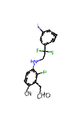 N#Cc1ccc(NCC(F)(F)c2cccc(I)c2)c(F)c1CC=O